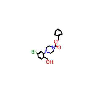 O=C(OCc1ccccc1)N1CCN(c2cc(Br)ccc2CO)CC1